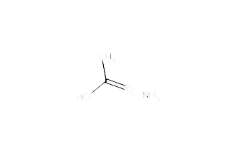 CC(=O)O.N